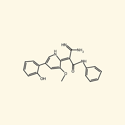 COC1=CC(c2ccccc2O)=CN/C1=C(\C(=N)N)C(=O)Nc1ccccc1